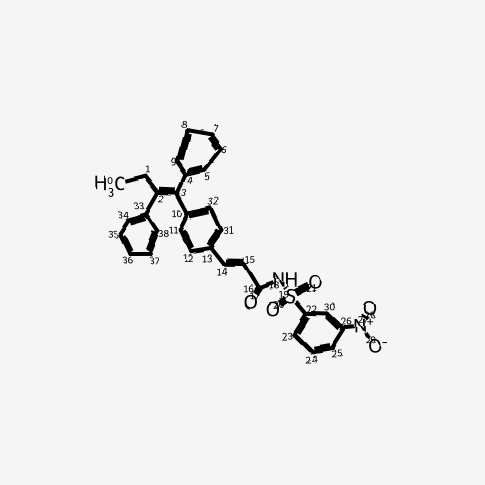 CC/C(=C(\c1ccccc1)c1ccc(/C=C/C(=O)NS(=O)(=O)c2cccc([N+](=O)[O-])c2)cc1)c1ccccc1